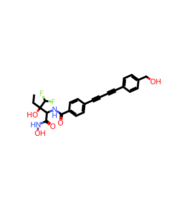 CCC(O)(C(F)F)C(NC(=O)c1ccc(C#CC#Cc2ccc(CO)cc2)cc1)C(=O)NO